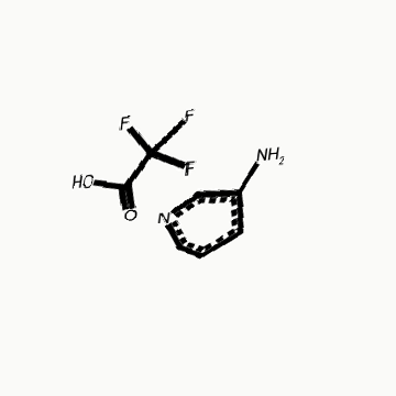 Nc1cccnc1.O=C(O)C(F)(F)F